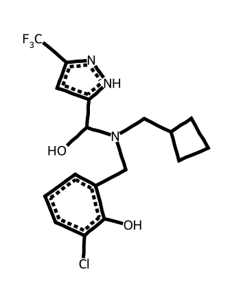 Oc1c(Cl)cccc1CN(CC1CCC1)C(O)c1cc(C(F)(F)F)n[nH]1